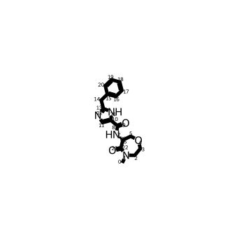 CN1CCOC[C@H](NC(=O)c2cnc(Cc3ccccc3)[nH]2)C1=O